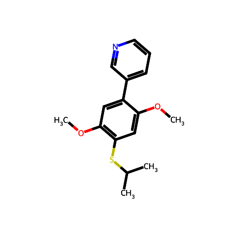 COc1cc(-c2cccnc2)c(OC)cc1SC(C)C